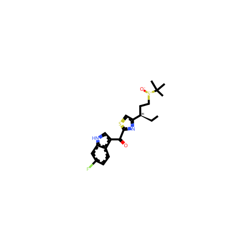 CC[C@H](CC[S+]([O-])C(C)(C)C)c1csc(C(=O)c2c[nH]c3cc(F)ccc23)n1